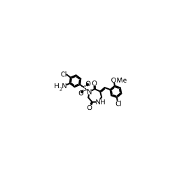 COc1ccc(Cl)cc1C=C1CNC(=O)CN(S(=O)(=O)c2ccc(Cl)c(N)c2)C1=O